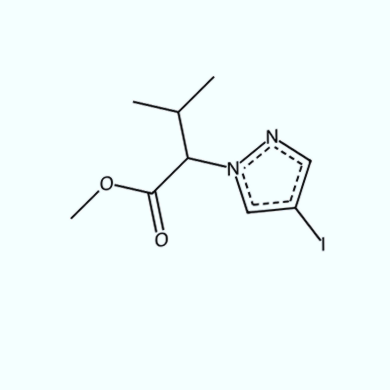 COC(=O)C(C(C)C)n1cc(I)cn1